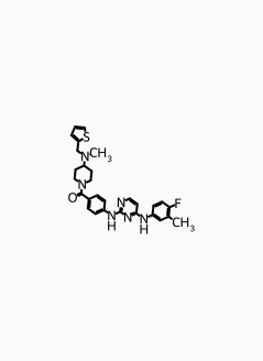 Cc1cc(Nc2ccnc(Nc3ccc(C(=O)N4CCC(N(C)Cc5cccs5)CC4)cc3)n2)ccc1F